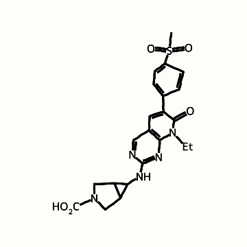 CCn1c(=O)c(-c2ccc(S(C)(=O)=O)cc2)cc2cnc(NC3C4CN(C(=O)O)CC43)nc21